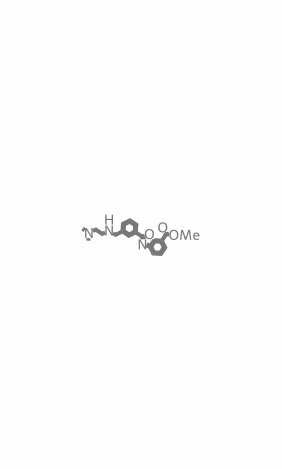 COC(=O)c1cccc2nc(-c3cccc(CNCCN(C)C)c3)oc12